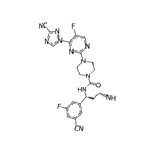 N#Cc1cc(F)cc([C@H](CC=N)NC(=O)N2CCN(c3ncc(F)c(-n4cnc(C#N)n4)n3)CC2)c1